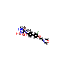 CNC(=O)C(C(=O)NO)N(C)C(=O)c1ccc(-c2ccc(OCCCN3CCOCC3)c(F)c2)cc1